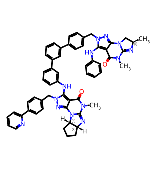 C[C@@H]1CN2C(=N1)N(C)C(=O)c1c2nn(Cc2ccc(-c3cccc(-c4cccc(Nc5c6c(nn5Cc5ccc(-c7ccccn7)cc5)N5C(=N[C@@H]7CCC[C@@H]75)N(C)C6=O)c4)c3)cc2)c1Nc1ccccc1